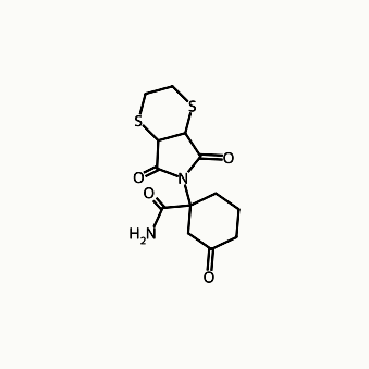 NC(=O)C1(N2C(=O)C3SCCSC3C2=O)CCCC(=O)C1